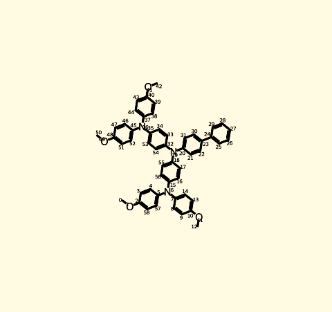 COc1ccc(N(c2ccc(OC)cc2)c2ccc(N(c3ccc(-c4ccccc4)cc3)c3ccc(N(c4ccc(OC)cc4)c4ccc(OC)cc4)cc3)cc2)cc1